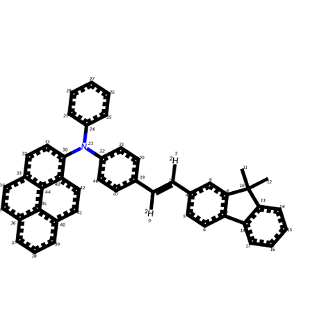 [2H]/C(=C(/[2H])c1ccc2c(c1)C(C)(C)c1ccccc1-2)c1ccc(N(c2ccccc2)c2ccc3ccc4cccc5ccc2c3c45)cc1